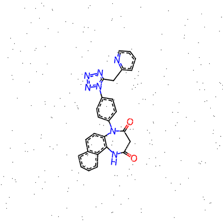 O=C1CC(=O)N(c2ccc(-n3nnnc3Cc3ccccn3)cc2)c2ccc3ccccc3c2N1